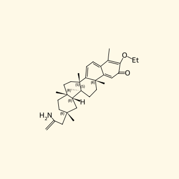 C=C(N)C[C@]1(C)CC[C@]2(C)CC[C@]3(C)C4=CC=C5C(=CC(=O)C(OCC)=C5C)[C@]4(C)CC[C@@]3(C)[C@@H]2C1